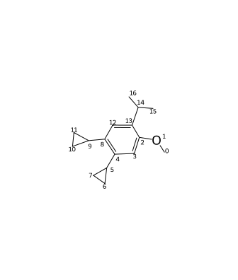 COc1cc(C2CC2)c(C2CC2)cc1C(C)C